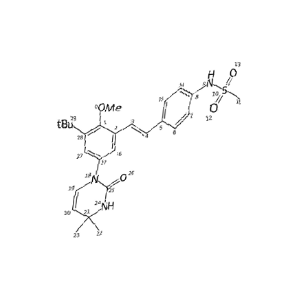 COc1c(C=Cc2ccc(NS(C)(=O)=O)cc2)cc(N2C=CC(C)(C)NC2=O)cc1C(C)(C)C